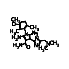 COc1ccc(C)c(-n2c(N)c(C(N)=O)c3c2ncn2c(CN(C)C)cnc32)c1C